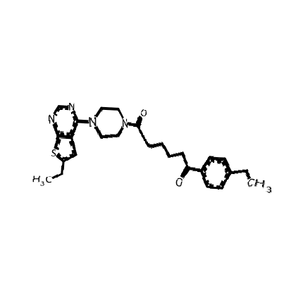 CCc1ccc(C(=O)CCCCC(=O)N2CCN(c3ncnc4sc(CC)cc34)CC2)cc1